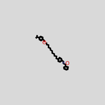 C=C(C)c1ccc(COCCCCCCCCCCCCc2ccc(/C=C/C(=O)c3ccccc3)cc2)cc1